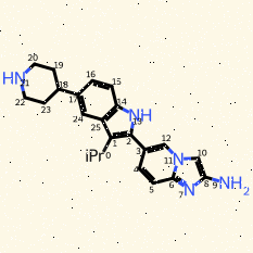 CC(C)c1c(-c2ccc3nc(N)cn3c2)[nH]c2ccc(C3CCNCC3)cc12